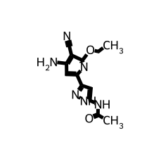 CCOc1nc(-c2cc(NC(C)=O)[nH]n2)cc(N)c1C#N